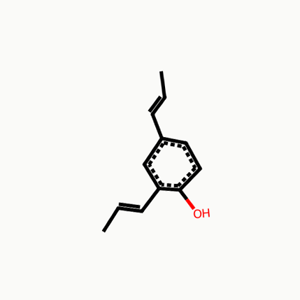 CC=Cc1ccc(O)c(C=CC)c1